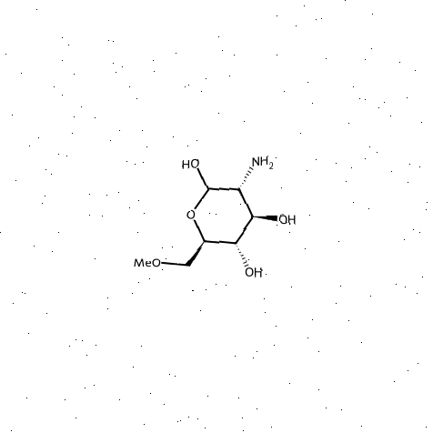 COC[C@H]1OC(O)[C@H](N)[C@@H](O)[C@@H]1O